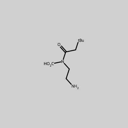 CC(C)(C)CC(=O)N(CCN)C(=O)O